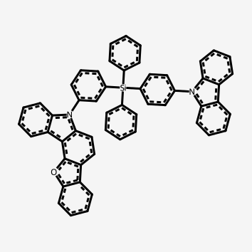 c1ccc([Si](c2ccccc2)(c2ccc(-n3c4ccccc4c4ccccc43)cc2)c2cccc(-n3c4ccccc4c4c5oc6ccccc6c5ccc43)c2)cc1